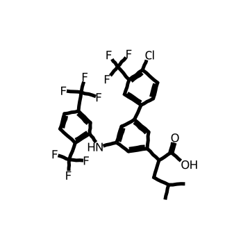 CC(C)CC(C(=O)O)c1cc(Nc2cc(C(F)(F)F)ccc2C(F)(F)F)cc(-c2ccc(Cl)c(C(F)(F)F)c2)c1